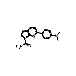 CN(C)c1ccc(-c2ccc3ccn(C(N)=O)c3n2)cc1